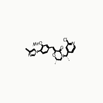 COc1cc(C=C2O[C@@H](C)CN([C@@H](C)c3ccnc(Cl)c3)C2=O)ccc1-n1cnc(C)c1